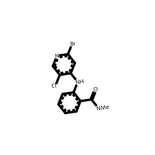 CNC(=O)c1ccccc1Nc1cc(Br)ncc1Cl